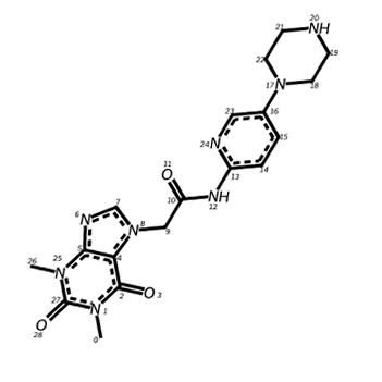 Cn1c(=O)c2c(ncn2CC(=O)Nc2ccc(N3CCNCC3)cn2)n(C)c1=O